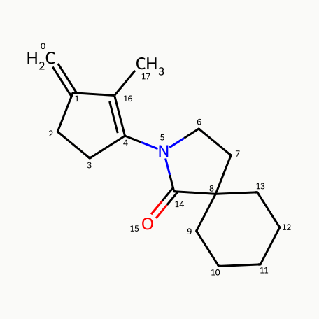 C=C1CCC(N2CCC3(CCCCC3)C2=O)=C1C